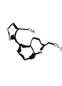 Cc1csnc1-c1cccc2nc(C(=O)O)ccc12